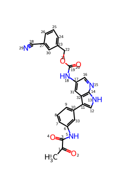 CC(=O)C(=O)Nc1cccc(-c2c[nH]c3ncc(NC(=O)OCc4cccc(C#N)c4)cc23)c1